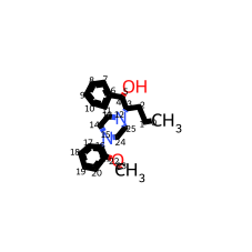 CCCC(C(O)c1ccccc1)N1CCN(c2ccccc2OC)CC1